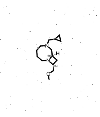 COC[C@@H]1C[C@@H]2CN(CC3CC3)CCCCN12